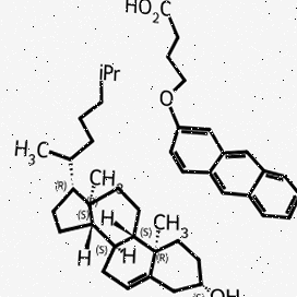 CC(C)CCCC(C)[C@H]1CC[C@H]2[C@@H]3CC=C4C[C@@H](O)CC[C@]4(C)[C@H]3CC[C@]12C.O=C(O)CCCOc1ccc2cc3ccccc3cc2c1